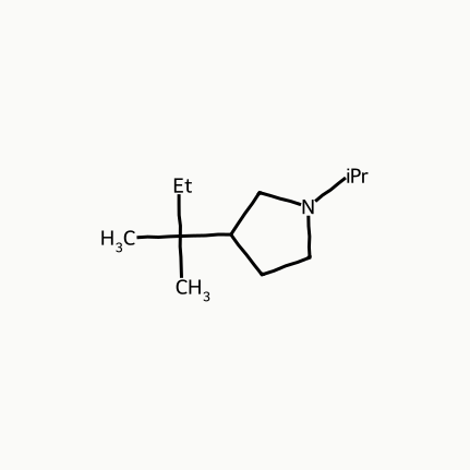 CCC(C)(C)C1CCN(C(C)C)C1